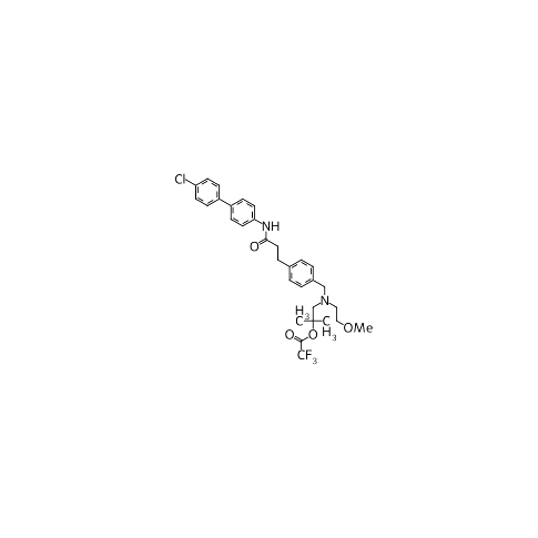 COCCN(Cc1ccc(CCC(=O)Nc2ccc(-c3ccc(Cl)cc3)cc2)cc1)CC(C)(C)OC(=O)C(F)(F)F